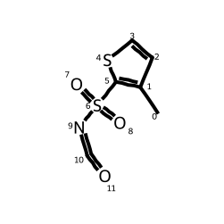 Cc1ccsc1S(=O)(=O)N=C=O